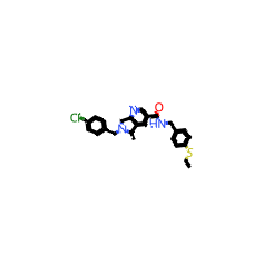 CCSc1ccc(CNC(=O)c2cnc3c(c2)C(C)N(Cc2ccc(Cl)cc2)C3)cc1